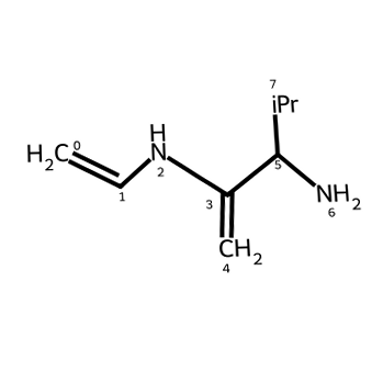 C=CNC(=C)C(N)C(C)C